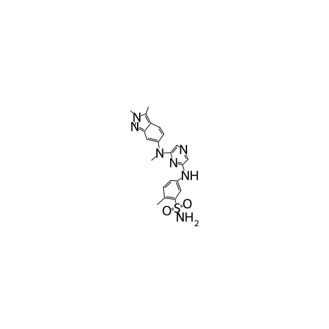 Cc1ccc(Nc2cncc(N(C)c3ccc4c(C)n(C)nc4c3)n2)cc1S(N)(=O)=O